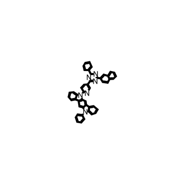 c1ccc(-c2nc(-c3ccc(-n4c5ccccc5c5cc6c(cc54)c4ccccc4n6-c4ccccc4)nc3)nc(-c3ccc4ccccc4c3)n2)cc1